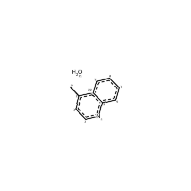 Cc1ccnc2ccccc12.O